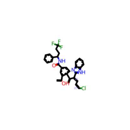 C=C(O)c1cc(C(=O)NC(CCC(F)(F)F)c2ccccc2)ccc1C(=C)/C(=C\C=C/Cl)c1nc2ccccc2[nH]1